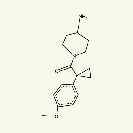 COc1ccc(C2(C(=O)N3CCC(N)CC3)CC2)cc1